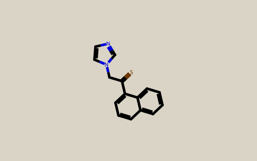 S=C(Cn1ccnc1)c1cccc2ccccc12